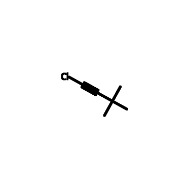 CC(C)(C)C#CCl